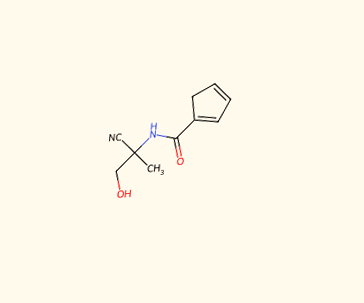 CC(C#N)(CO)NC(=O)C1=CC=CC1